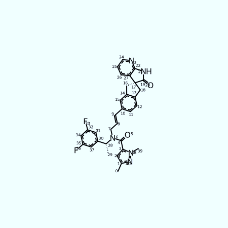 Cc1cc(C(=O)N(C/C=C/c2ccc3c(c2)C[C@@]2(C3)C(=O)Nc3ncccc32)[C@H](C)c2cc(F)cc(F)c2)n(C)n1